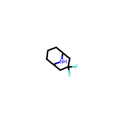 FC1(F)CC2CCCC(C1)N2